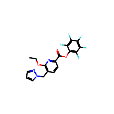 CCOc1nc(C(=O)Oc2c(F)c(F)c(F)c(F)c2F)ccc1Cn1cccn1